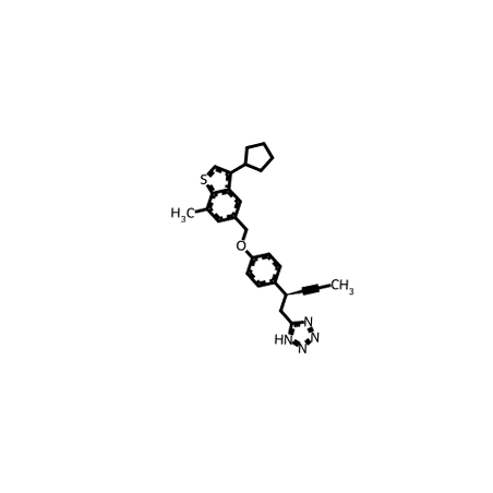 CC#C[C@@H](Cc1nnn[nH]1)c1ccc(OCc2cc(C)c3scc(C4CCCC4)c3c2)cc1